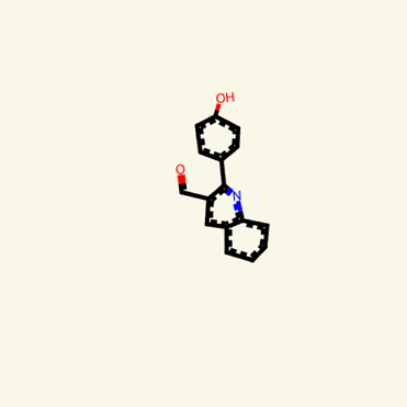 O=Cc1cc2ccccc2nc1-c1ccc(O)cc1